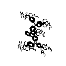 CC(C)(C)c1ccc(N(c2ccc(C(C)(C)C)cc2)c2ccc3c(c2)C(C)(C)c2c-3c3ccccc3c3cc(N(c4ccc(C(C)(C)C)cc4)c4ccc(C(C)(C)C)cc4)ccc23)cc1